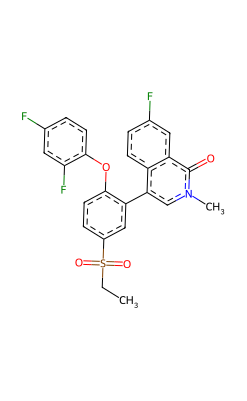 CCS(=O)(=O)c1ccc(Oc2ccc(F)cc2F)c(-c2cn(C)c(=O)c3cc(F)ccc23)c1